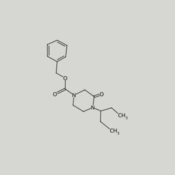 CCC(CC)N1CCN(C(=O)OCc2ccccc2)CC1=O